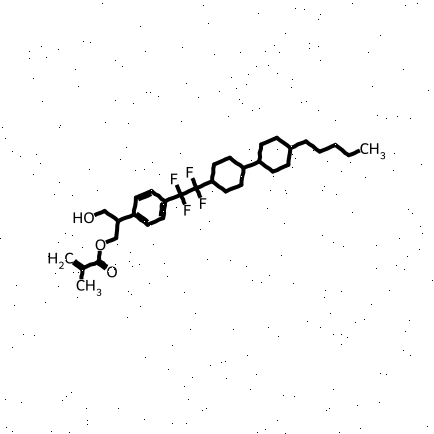 C=C(C)C(=O)OCC(CO)c1ccc(C(F)(F)C(F)(F)C2CCC(C3CCC(CCCCC)CC3)CC2)cc1